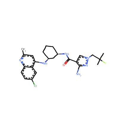 CC(C)(F)Cn1cc(C(=O)N[C@@H]2CCC[C@H](Nc3cc(C(F)(F)F)nc4ccc(Cl)cc34)C2)c(N)n1